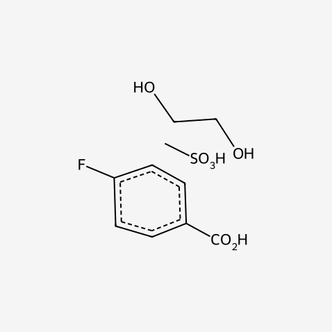 CS(=O)(=O)O.O=C(O)c1ccc(F)cc1.OCCO